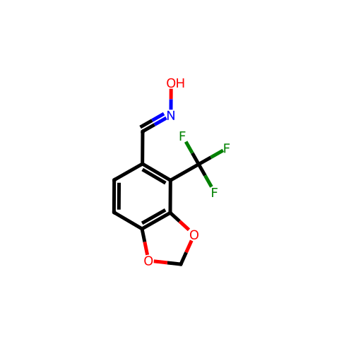 ON=Cc1ccc2c(c1C(F)(F)F)OCO2